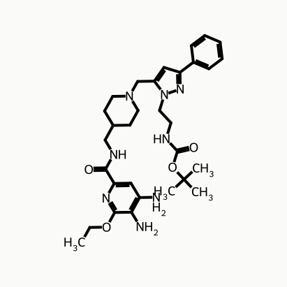 CCOc1nc(C(=O)NCC2CCN(Cc3cc(-c4ccccc4)nn3CCNC(=O)OC(C)(C)C)CC2)cc(N)c1N